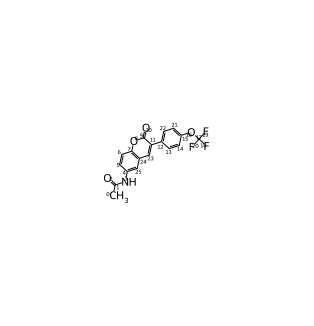 CC(=O)Nc1ccc2oc(=O)c(-c3ccc(OC(F)(F)F)cc3)cc2c1